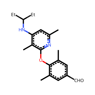 CCC(CC)Nc1cc(C)nc(Oc2c(C)cc(C=O)cc2C)c1C